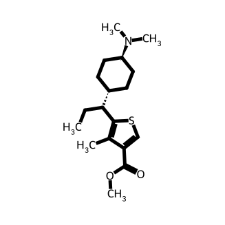 CCC(c1scc(C(=O)OC)c1C)[C@H]1CC[C@H](N(C)C)CC1